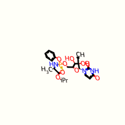 C#C[C@@]1(O)[C@H](O)C(COP(=S)(N[C@@H](C)C(=O)OC(C)C)Oc2ccccc2)O[C@H]1n1ccc(=O)[nH]c1=O